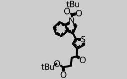 CC(C)(C)OC(=O)CCC(=O)c1csc(-c2cn(C(=O)OC(C)(C)C)c3ccccc23)c1